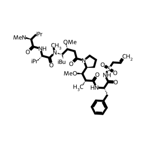 C=CCS(=O)(=O)NC(=O)[C@H](Cc1ccccc1)NC(=O)[C@H](C)[C@@H](OC)[C@@H]1CCCN1C(=O)C[C@@H](OC)[C@H]([C@@H](C)CC)N(C)C(=O)[C@@H](NC(=O)[C@@H](NC)C(C)C)C(C)C